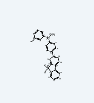 Cc1cccc(N(c2ccc(-c3ccc4c(c3)C(C)(C)c3ccccc3-4)cc2)C(C)C)c1